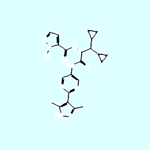 CCn1nccc1C(=O)N[C@H](C(=O)Nc1cnc(-c2c(C)n[nH]c2C)nc1)C(C1CC1)C1CC1